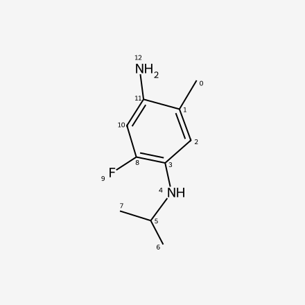 Cc1cc(NC(C)C)c(F)cc1N